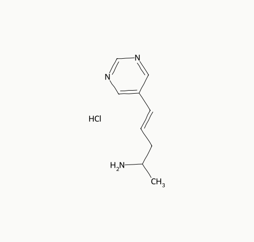 CC(N)CC=Cc1cncnc1.Cl